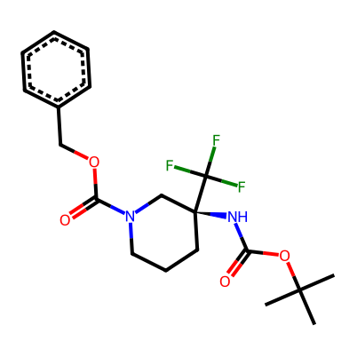 CC(C)(C)OC(=O)N[C@@]1(C(F)(F)F)CCCN(C(=O)OCc2ccccc2)C1